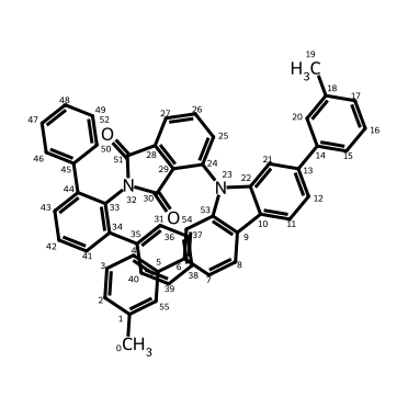 Cc1cccc(-c2ccc3c4ccc(-c5cccc(C)c5)cc4n(-c4cccc5c4C(=O)N(c4c(-c6ccccc6)cccc4-c4ccccc4)C5=O)c3c2)c1